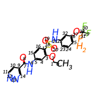 CCOc1cc(NC(=O)c2ccnnc2)ccc1S(=O)(=O)Nc1cccc(OC(F)(F)P)c1